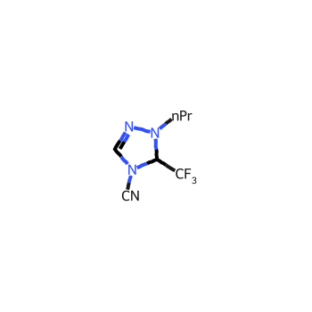 CCCN1N=CN(C#N)C1C(F)(F)F